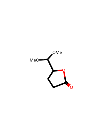 COC(OC)C1CCC(=O)O1